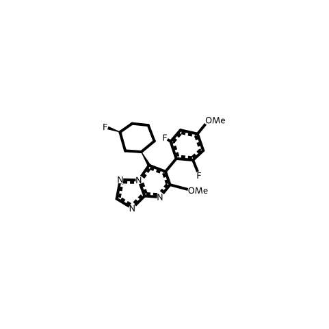 COc1cc(F)c(-c2c(OC)nc3ncnn3c2[C@@H]2CCC[C@H](F)C2)c(F)c1